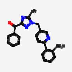 CCCc1nc(C(=O)c2ccccc2)nn1Cc1ccc(-c2ccccc2C(=O)O)nc1